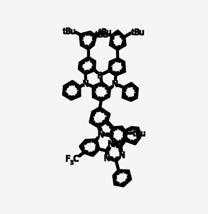 CC(C)(C)c1cc(-c2ccc3c(c2)B2c4cc(-c5cc(C(C)(C)C)cc(C(C)(C)C)c5)ccc4N(c4ccccc4)c4cc(-c5ccc6c(c5)c5cc(C(C)(C)C)ccc5n6-c5ccc(C(F)(F)F)cc5-c5nc(-c6ccccc6)nc(-c6ccccc6)n5)cc(c42)N3c2ccccc2)cc(C(C)(C)C)c1